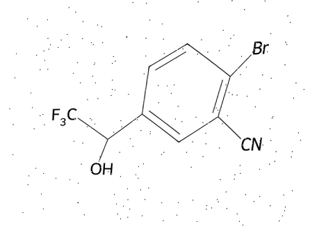 N#Cc1cc(C(O)C(F)(F)F)ccc1Br